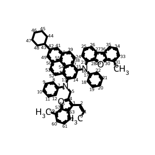 C/C=C\c1c(CN(c2ccccc2)c2cc(N(c3ccccc3)c3cccc4c3oc3c(C)cccc34)c3ccc4cc(C5CCCCC5)cc5ccc2c3c54)oc2c(C)cccc12